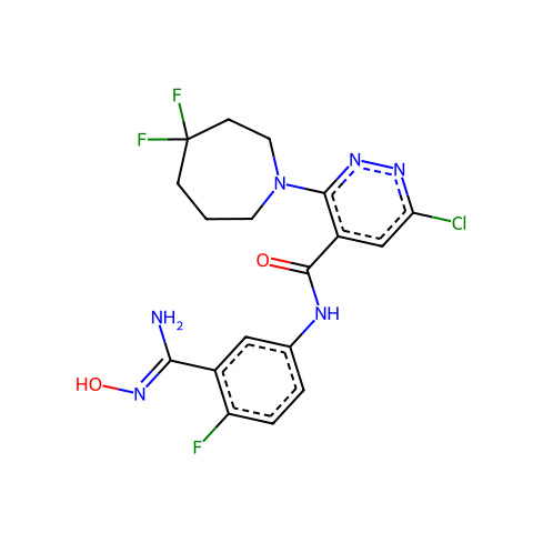 NC(=NO)c1cc(NC(=O)c2cc(Cl)nnc2N2CCCC(F)(F)CC2)ccc1F